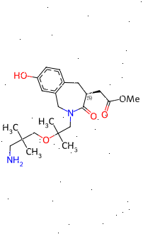 COC(=O)C[C@@H]1Cc2ccc(O)cc2CN(CC(C)(C)OCC(C)(C)CN)C1=O